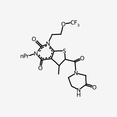 CCCn1c(=O)c2c(n(CCOC(F)(F)F)c1=O)SC(C(=O)N1CCNC(=O)C1)C2C